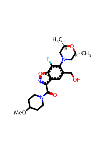 COC1CCN(C(=O)c2noc3c(F)c(N4C[C@@H](C)O[C@@H](C)C4)c(CO)cc23)CC1